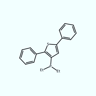 CCP(CC)c1cc(-c2ccccc2)sc1-c1ccccc1